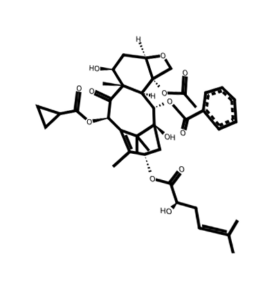 CC(=O)O[C@@]12CO[C@@H]1C[C@H](O)[C@@]1(C)C(=O)[C@H](OC(=O)C3CC3)C3=C(C)[C@@H](OC(=O)[C@H](O)CC=C(C)C)C[C@@](O)([C@@H](OC(=O)c4ccccc4)[C@H]21)C3(C)C